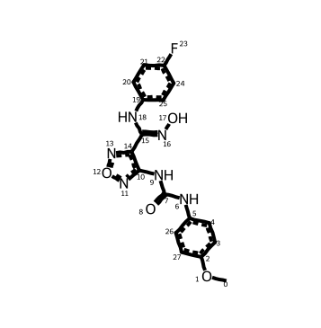 COc1ccc(NC(=O)Nc2nonc2/C(=N/O)Nc2ccc(F)cc2)cc1